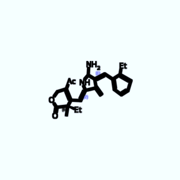 C=C1/C(=C/C2=C(C(C)=O)COC(=O)[C@]2(C)CC)NC(N)/C1=C/c1ccccc1CC